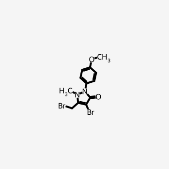 COc1ccc(-n2c(=O)c(Br)c(CBr)n2C)cc1